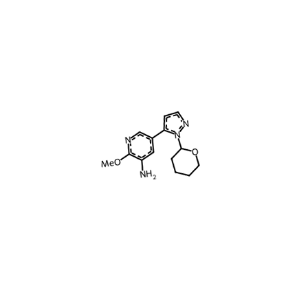 COc1ncc(-c2ccnn2C2CCCCO2)cc1N